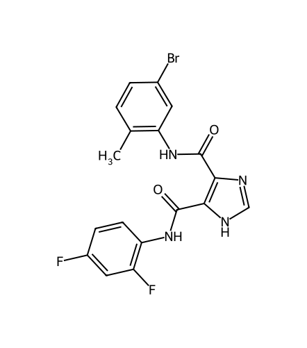 Cc1ccc(Br)cc1NC(=O)c1nc[nH]c1C(=O)Nc1ccc(F)cc1F